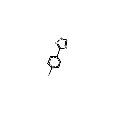 Brc1ccc(C2=N[N]C=N2)cc1